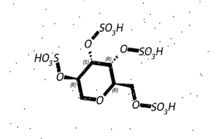 O=S(=O)(O)OC[C@H]1O[CH][C@@H](OS(=O)(=O)O)[C@H](OS(=O)(=O)O)[C@@H]1OS(=O)(=O)O